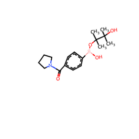 CC(C)(O)C(C)(C)OB(O)c1ccc(C(=O)N2CCCC2)cc1